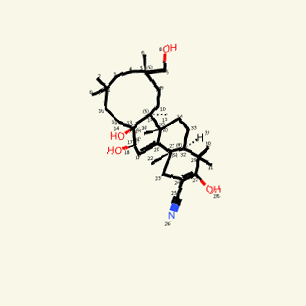 CC1(C)CC[C@](C)(CO)CC[C@]2(C)[C@@](O)(CC1)[C@H](O)C=C1[C@@]3(C)CC(C#N)=C(O)C(C)(C)[C@@H]3CC[C@]12C